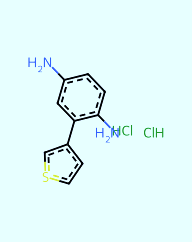 Cl.Cl.Nc1ccc(N)c(-c2ccsc2)c1